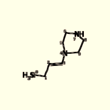 [SiH3]CC=CN1CCNCC1